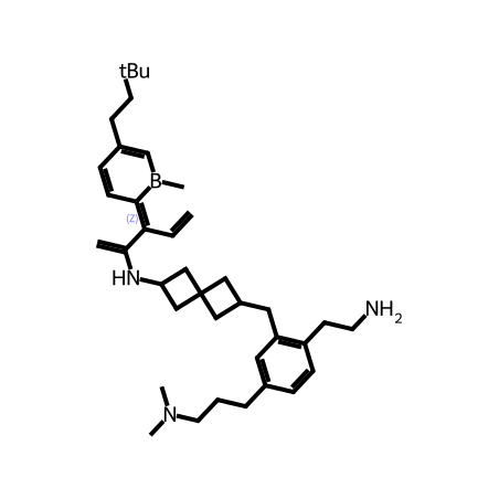 C=C/C(C(=C)NC1CC2(CC(Cc3cc(CCCN(C)C)ccc3CCN)C2)C1)=C1/C=CC(CCC(C)(C)C)=CB1C